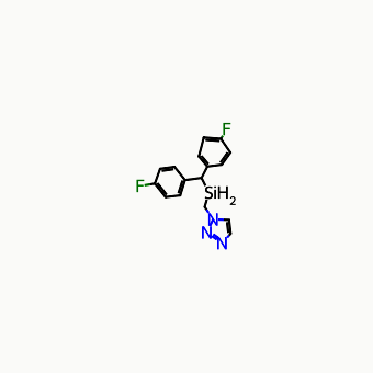 Fc1ccc(C([SiH2]Cn2ccnn2)c2ccc(F)cc2)cc1